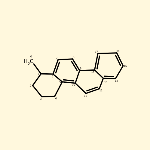 [CH2]C1CCCc2c1ccc1c2ccc2ccccc21